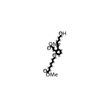 COC(=O)C=Cc1c(C#CCCCCO)cccc1OCCCCCCCC(=O)OC